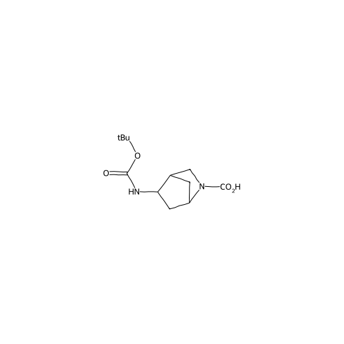 CC(C)(C)OC(=O)NC1CC2CC1CN2C(=O)O